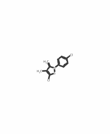 C=C1C(C)=C(Cl)SN1c1ccc(Cl)cc1